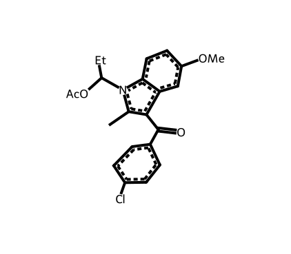 CCC(OC(C)=O)n1c(C)c(C(=O)c2ccc(Cl)cc2)c2cc(OC)ccc21